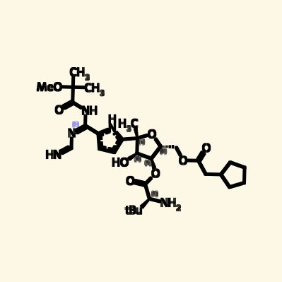 COC(C)(C)C(=O)N/C(=N/C=N)c1ccc([C@]2(C)O[C@H](COC(=O)CC3CCCC3)[C@@H](OC(=O)[C@@H](N)C(C)(C)C)[C@H]2O)[nH]1